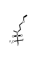 C=COCCN(C)S(=O)(=O)C(F)(F)C(F)(F)F